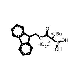 CC[C@H](C)[C@](C(=O)O)(C(=O)OCC1c2ccccc2-c2ccccc21)N(O)O